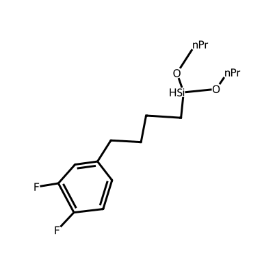 CCCO[SiH](CCCCc1ccc(F)c(F)c1)OCCC